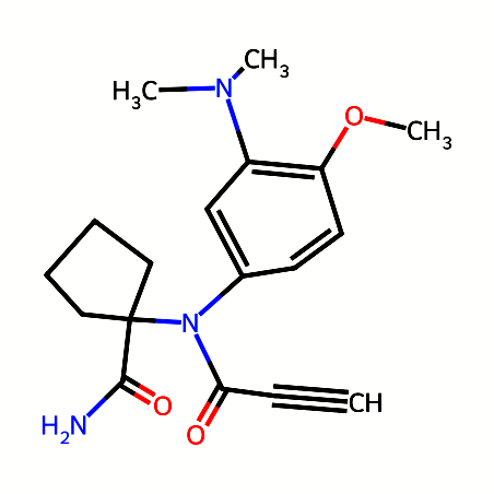 C#CC(=O)N(c1ccc(OC)c(N(C)C)c1)C1(C(N)=O)CCCC1